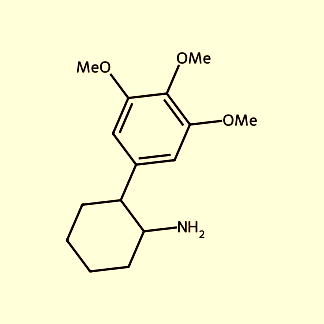 COc1cc(C2CCCCC2N)cc(OC)c1OC